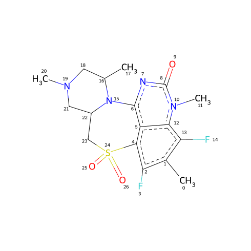 Cc1c(F)c2c3c(nc(=O)n(C)c3c1F)N1C(C)CN(C)CC1CS2(=O)=O